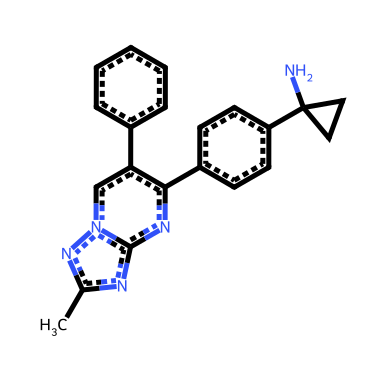 Cc1nc2nc(-c3ccc(C4(N)CC4)cc3)c(-c3ccccc3)cn2n1